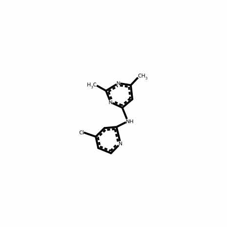 Cc1cc(Nc2cc(Cl)ccn2)nc(C)n1